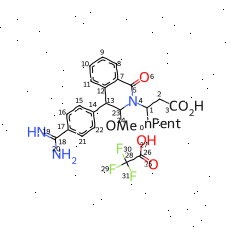 CCCCCC(CC(=O)O)N1C(=O)c2ccccc2C(c2ccc(C(=N)N)cc2)C1OC.O=C(O)C(F)(F)F